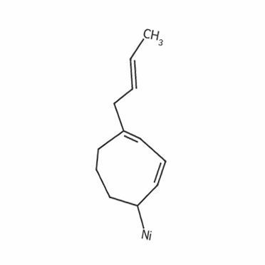 C/C=C/C/C1=C/C=C\[CH]([Ni])CCC1